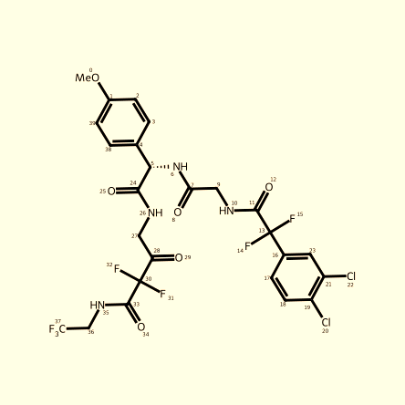 COc1ccc([C@H](NC(=O)CNC(=O)C(F)(F)c2ccc(Cl)c(Cl)c2)C(=O)NCC(=O)C(F)(F)C(=O)NCC(F)(F)F)cc1